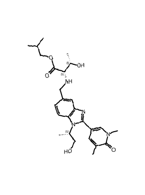 Cc1cc(-c2nc3cc(CN[C@H](C(=O)OCC(C)C)[C@H](C)O)ccc3n2[C@@H](C)CO)cn(C)c1=O